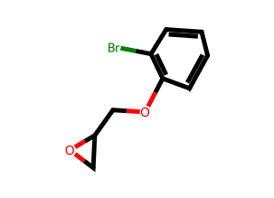 Brc1ccc[c]c1OCC1CO1